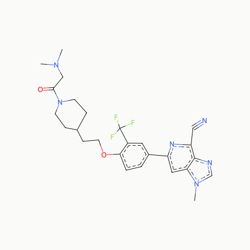 CN(C)CC(=O)N1CCC(CCOc2ccc(-c3cc4c(ncn4C)c(C#N)n3)cc2C(F)(F)F)CC1